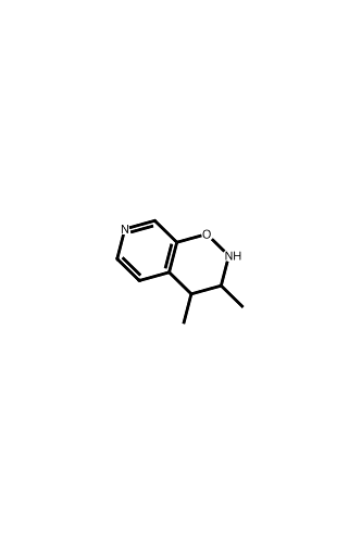 CC1NOc2cnccc2C1C